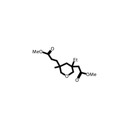 CCC1(CC(=O)OC)COCC(C)(CCC(=O)OC)C1